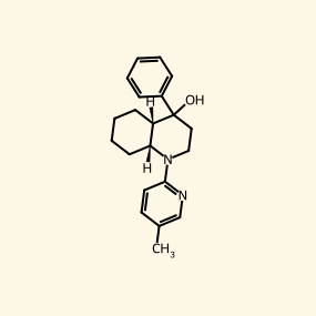 Cc1ccc(N2CCC(O)(c3ccccc3)[C@H]3CCCC[C@H]32)nc1